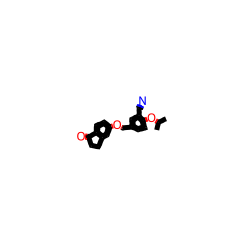 CC(C)Oc1ccc(COc2ccc3c(c2)CCC3=O)cc1C#N